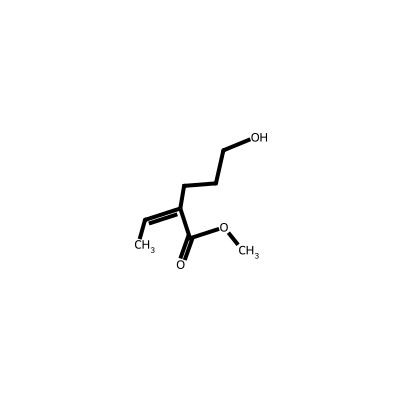 CC=C(CCCO)C(=O)OC